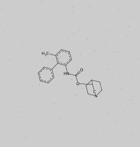 Cc1cccc(NC(=O)OC2CN3CCC2CC3)c1-c1ccccc1